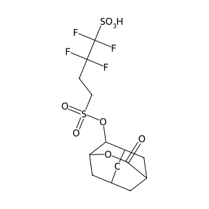 O=C1OC2CC3CC1CC(C3)C2OS(=O)(=O)CCC(F)(F)C(F)(F)S(=O)(=O)O